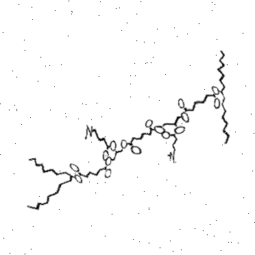 CCCCCCCCC(CCCCCCCC)OC(=O)CCCCC(=O)OCC(COC(=O)CCCCC(=O)OCC(COC(=O)CCCCC(=O)OC(CCCCCCCC)CCCCCCCC)OC(=O)CCCN(C)C)OC(=O)CCCN(C)C